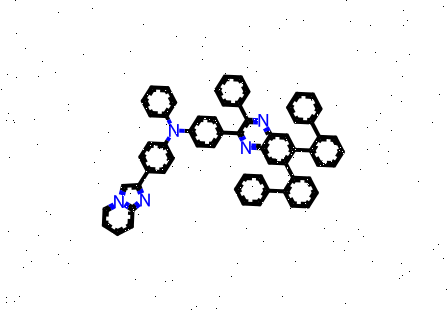 c1ccc(-c2ccccc2-c2cc3nc(-c4ccccc4)c(-c4ccc(N(c5ccccc5)c5ccc(-c6cn7ccccc7n6)cc5)cc4)nc3cc2-c2ccccc2-c2ccccc2)cc1